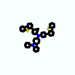 C1=Cc2c(n(-c3ccccc3)c3ccccc23)CC=C1N(C1=CC=C(c2cccc3c2sc2ccccc23)C2CC12)c1ccc(-c2cccc3c2sc2ccccc23)cc1